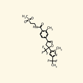 Cc1cc(C2=NOC(c3cc(C(C)(F)F)nn3C)(C(F)(F)F)C2)ccc1C(=O)NCCS(C)(=O)=O